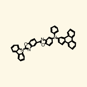 c1ccc(N(c2ccc3oc(-c4ccc5oc(-n6c7ccccc7c7ccccc76)nc5c4)nc3c2)c2ccc3c4ccccc4c4ccccc4c3c2)cc1